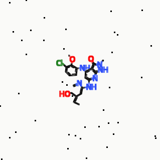 C=N/C(=C\C(=C/C)CO)Nc1cc(Nc2cccc(Cl)c2OC)c2c(=O)n(C)[nH]c2n1